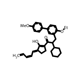 C=C/C=C\C=C1/CCC(C(=O)C(Cc2cc(-c3ccc(OC)cc3)ccc2OCC)C2CCCCC2)=C1O